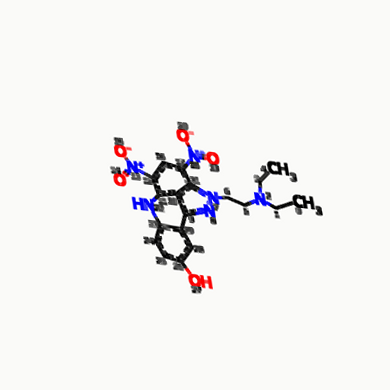 CCN(CC)CCn1nc2c3c(c([N+](=O)[O-])cc([N+](=O)[O-])c31)Nc1ccc(O)cc1-2